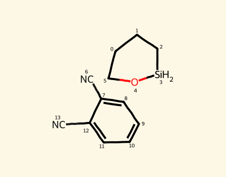 C1CC[SiH2]OC1.N#Cc1ccccc1C#N